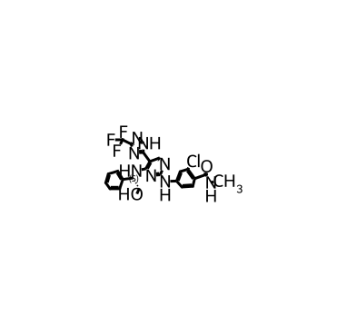 CNC(=O)c1ccc(Nc2ncc(-c3nc(C(F)(F)F)n[nH]3)c(N[C@H](CO)c3ccccc3)n2)cc1Cl